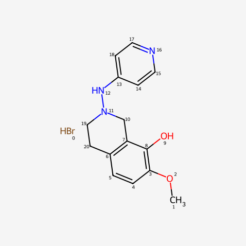 Br.COc1ccc2c(c1O)CN(Nc1ccncc1)CC2